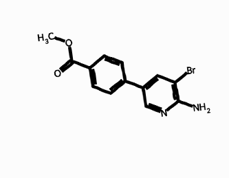 COC(=O)c1ccc(-c2cnc(N)c(Br)c2)cc1